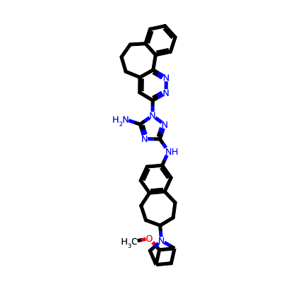 COC1C2CC1N(C1CCc3ccc(Nc4nc(N)n(-c5cc6c(nn5)-c5ccccc5CCC6)n4)cc3CC1)C2